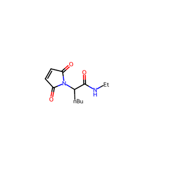 CCCCC(C(=O)NCC)N1C(=O)C=CC1=O